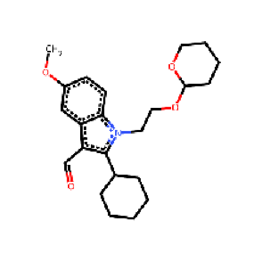 COc1ccc2c(c1)c(C=O)c(C1CCCCC1)n2CCOC1CCCCO1